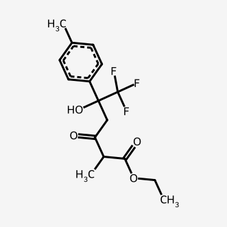 CCOC(=O)C(C)C(=O)CC(O)(c1ccc(C)cc1)C(F)(F)F